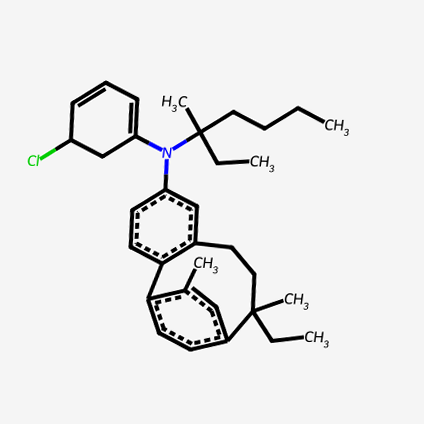 CCCCC(C)(CC)N(C1=CC=CC(Cl)C1)c1ccc2c(c1)CCC(C)(CC)c1ccc-2c(C)c1